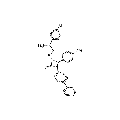 N[C@H](CS[C@H]1C(=O)N(c2ccc(-c3cccnc3)cc2)[C@@H]1c1ccc(O)cc1)c1ccc(Cl)cc1